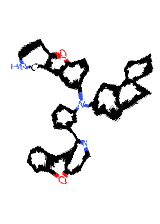 C1=Cc2oc3ccc(N(c4cccc(-c5nccc6oc7ccccc7c56)c4)c4ccc5ccc6ccccc6c5c4)cc3c2CN1